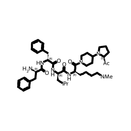 CNCCCC[C@@H](NC(=O)[C@@H](CC(C)C)NC(=O)[C@@H](Cc1ccccc1)NC(=O)[C@H](N)Cc1ccccc1)C(=O)N1CCC(N2CCC[C@H]2C(C)=O)CC1